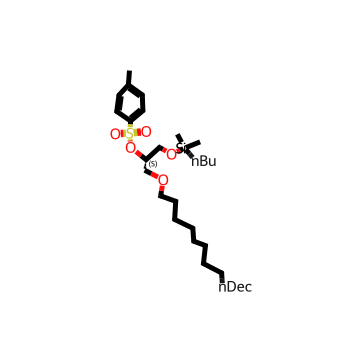 CCCCCCCCCCCCCCCCCCOC[C@@H](CO[Si](C)(C)CCCC)OS(=O)(=O)c1ccc(C)cc1